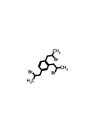 CC(Br)Cc1ccc(CC(C)Br)c(CC(C)Br)c1